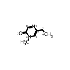 CCc1cn(C)c(=O)cn1